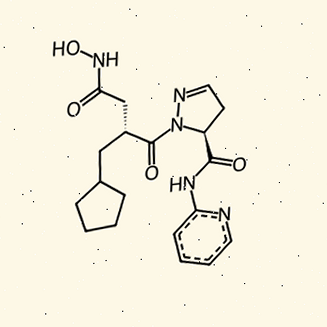 O=C(C[C@@H](CC1CCCC1)C(=O)N1N=CC[C@H]1C(=O)Nc1ccccn1)NO